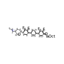 C/C=C/C1CCC(c2ccc(-c3ccc(-c4ccc(OCCCCCCCC)c(F)c4F)cc3)c(F)c2F)OC1